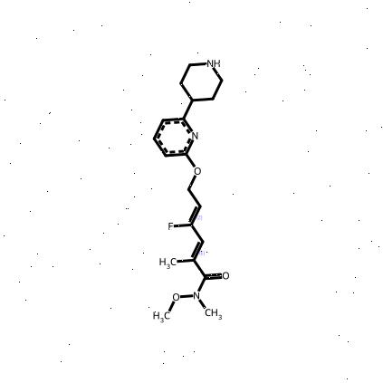 CON(C)C(=O)/C(C)=C/C(F)=C/COc1cccc(C2CCNCC2)n1